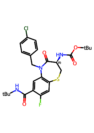 CC(C)(C)NC(=O)c1cc2c(cc1F)SC[C@H](NC(=O)OC(C)(C)C)C(=O)N2Cc1ccc(Cl)cc1